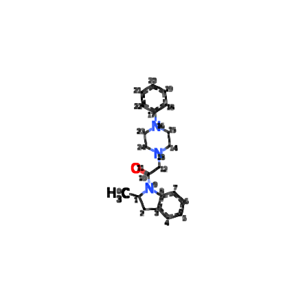 CC1Cc2ccccc2N1C(=O)CN1CCN(c2ccccc2)CC1